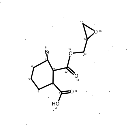 O=C(O)C1CCCC(Br)C1C(=O)OCC1CO1